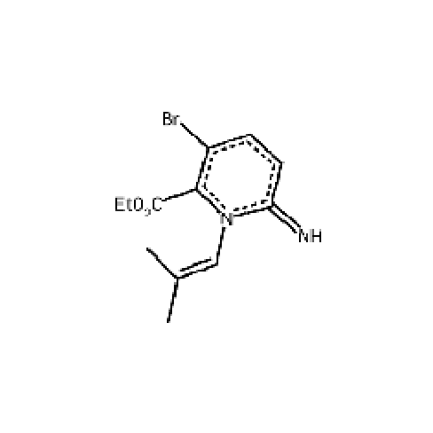 CCOC(=O)c1c(Br)ccc(=N)n1C=C(C)C